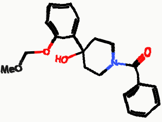 COCOc1ccccc1C1(O)CCN(C(=O)c2ccccc2)CC1